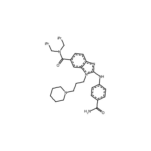 CC(C)CN(CC(C)C)C(=O)c1ccc2nc(Nc3ccc(C(N)=O)cc3)n(CCCN3CCCCC3)c2c1